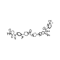 CC(C)Oc1cc2nn(C3CCN(CC(=O)N4CCC(c5ccc(NC6CCC(=O)NC6=O)cc5F)CC4)CC3)cc2cc1NC(=O)c1cccc(C(F)(F)F)n1